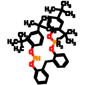 CC(C)(C)c1ccc(OPOc2ccccc2Cc2ccccc2OPOc2ccc(C(C)(C)C)cc2C(C)(C)C)c(C(C)(C)C)c1